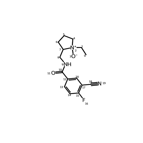 CC[N+]1([O-])CCCC1CNC(=O)c1ccc(F)c(C#N)c1